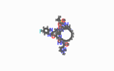 CCc1nc2ccc(F)cc2nc1O[C@@H]1C[C@H]2C(=O)N[C@]3(C(=O)NS(=O)(=O)C4CC4)C[C@H]3/C=C\CCCCC[C@H](NC(=O)c3ccn(C)n3)C(=O)N2C1